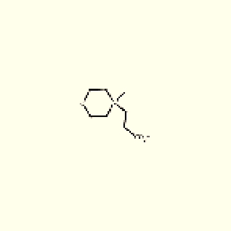 C[N+]1(CCC(=O)O)CCOCC1